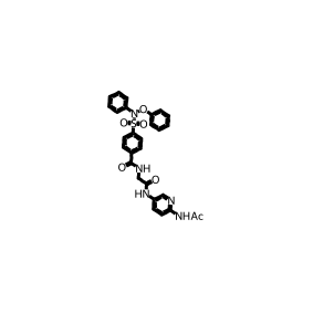 CC(=O)Nc1ccc(NC(=O)CNC(=O)c2ccc(S(=O)(=O)N(Oc3ccccc3)c3ccccc3)cc2)cn1